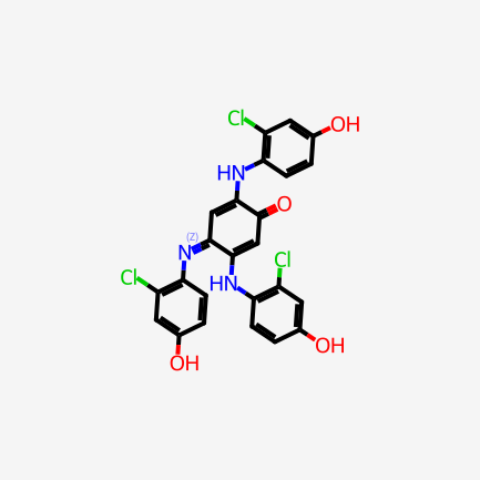 O=C1C=C(Nc2ccc(O)cc2Cl)/C(=N\c2ccc(O)cc2Cl)C=C1Nc1ccc(O)cc1Cl